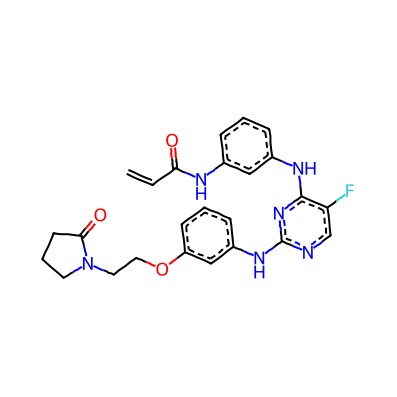 C=CC(=O)Nc1cccc(Nc2nc(Nc3cccc(OCCN4CCCC4=O)c3)ncc2F)c1